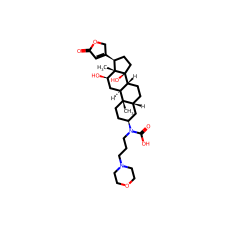 C[C@]12CC[C@H](N(CCCN3CCOCC3)C(=O)O)C[C@H]1CC[C@@H]1[C@@H]2C[C@@H](O)[C@]2(C)[C@@H](C3=CC(=O)OC3)CC[C@]12O